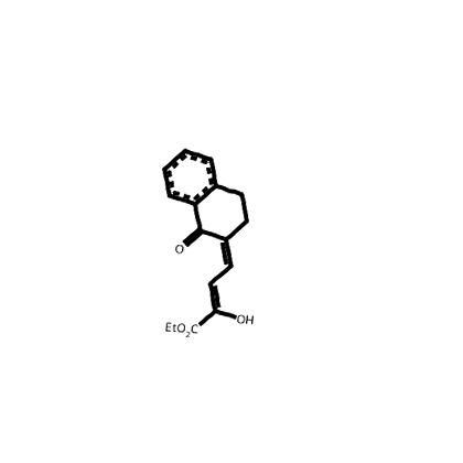 CCOC(=O)C(O)=CC=C1CCc2ccccc2C1=O